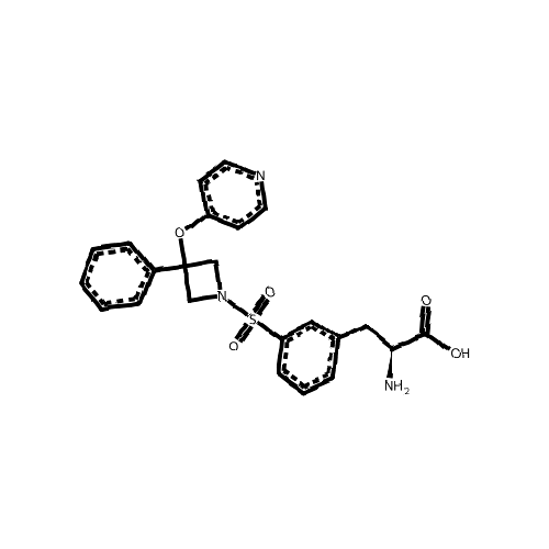 N[C@@H](Cc1cccc(S(=O)(=O)N2CC(Oc3ccncc3)(c3ccccc3)C2)c1)C(=O)O